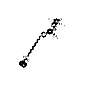 COc1cc(N2CCN(CCCCCCCCCCCCNC(=O)CC34CC5CC(CC(C5)C3)C4)CC2)ccc1Nc1ncc2c(C)cc(=O)n(C)c2n1